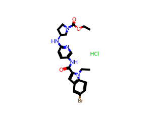 CCOC(=O)N1CC[C@H](Nc2ccc(NC(=O)c3cc4cc(Br)ccc4n3CC)cn2)C1.Cl